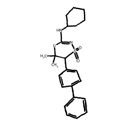 CC1(C)OC(NC2CCCCC2)=NS(=O)(=O)C1c1ccc(-c2ccccc2)cc1